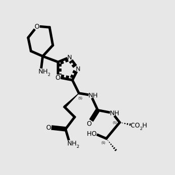 C[C@H](O)[C@H](NC(=O)N[C@@H](CCC(N)=O)c1nnc(C2(N)CCOCC2)o1)C(=O)O